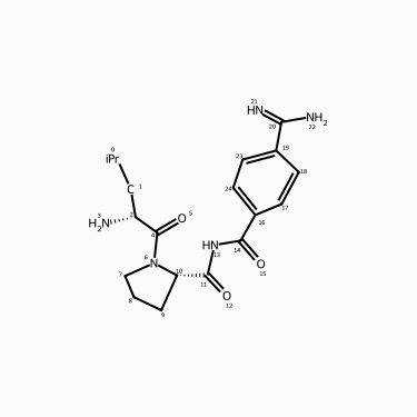 CC(C)C[C@@H](N)C(=O)N1CCC[C@H]1C(=O)NC(=O)c1ccc(C(=N)N)cc1